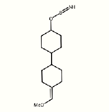 COC=C1CCC(C2CCC(OB=N)CC2)CC1